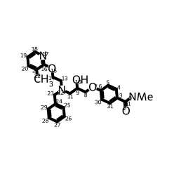 CNC(=O)c1ccc(OCC(O)CN(CCOc2ncccc2C)Cc2ccccc2)cc1